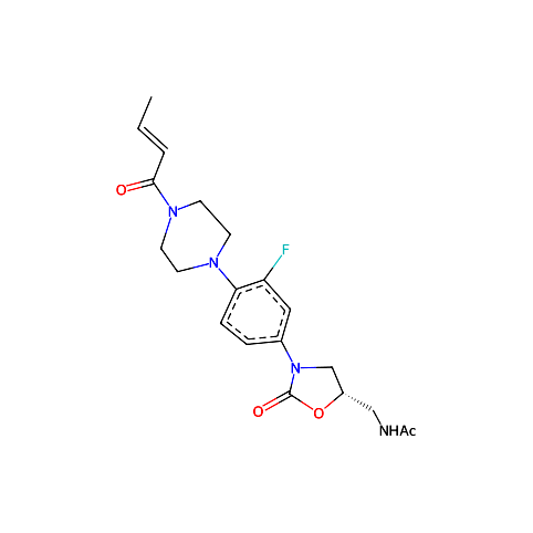 CC=CC(=O)N1CCN(c2ccc(N3C[C@H](CNC(C)=O)OC3=O)cc2F)CC1